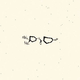 CCCC[C@]1(C#N)CC[C@H](OC(=O)[C@H]2CC[C@H](CCC)CC2)CC1